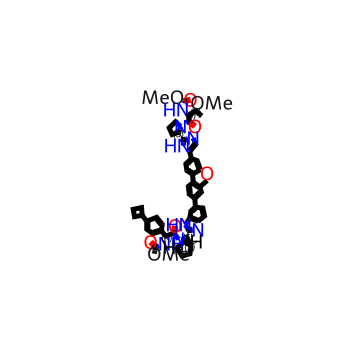 COC(=O)N[C@H](C(=O)N1CCC[C@H]1c1ncc(-c2ccc3c(c2)OCc2cc(-c4ccc5nc([C@@H]6[C@H]7CC[C@H](C7)N6C(=O)[C@H](NC(=O)OC)c6ccc(C7CCC7)cc6)[nH]c5c4)ccc2-3)[nH]1)[C@@H](C)OC